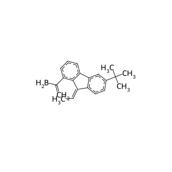 BC(=C)c1cccc2c1/C(=C\C)c1ccc(C(C)(C)C)cc1-2